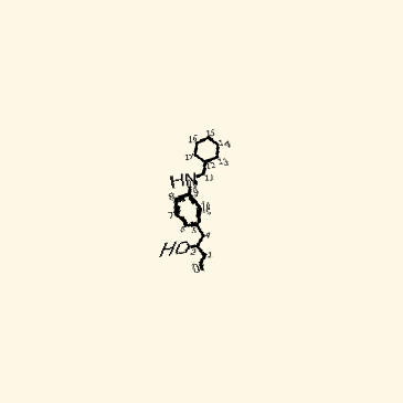 CCC(O)Cc1cccc(NCC2CCCCC2)c1